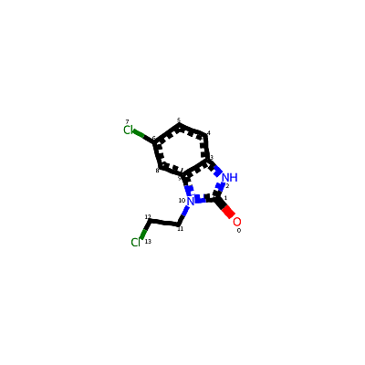 O=c1[nH]c2ccc(Cl)cc2n1CCCl